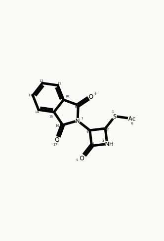 CC(=O)SC1NC(=O)C1N1C(=O)c2ccccc2C1=O